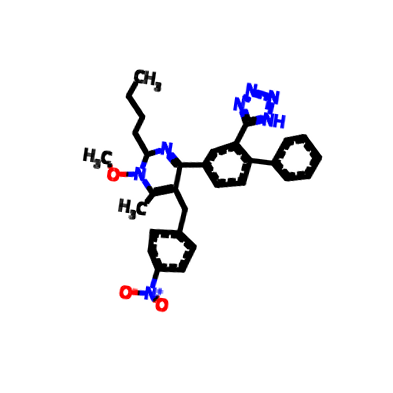 CCCCC1N=C(c2ccc(-c3ccccc3)c(-c3nnn[nH]3)c2)C(Cc2ccc([N+](=O)[O-])cc2)=C(C)N1OC